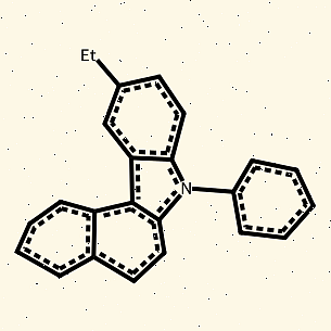 CCc1ccc2c(c1)c1c3ccccc3ccc1n2-c1ccccc1